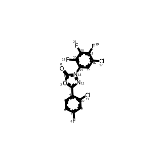 O=c1oc(-c2ccc(F)cc2Cl)nn1-c1cc(Cl)c(F)c(F)c1F